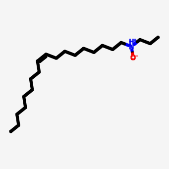 CCCCCCCC/C=C\CCCCCCCC[NH+]([O-])CCC